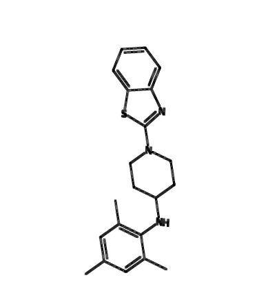 Cc1cc(C)c(NC2CCN(c3nc4ccccc4s3)CC2)c(C)c1